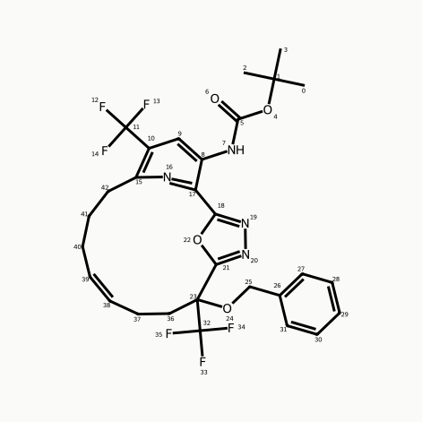 CC(C)(C)OC(=O)Nc1cc(C(F)(F)F)c2nc1-c1nnc(o1)C(OCc1ccccc1)(C(F)(F)F)CC/C=C\CCC2